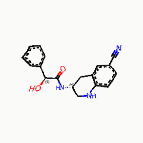 N#Cc1ccc2c(c1)C[C@@H](NC(=O)[C@@H](O)c1ccccc1)CN2